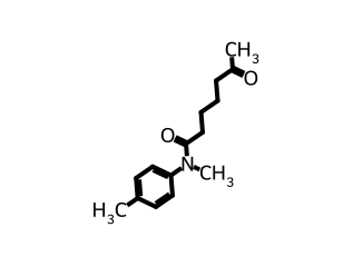 CC(=O)CCCCC(=O)N(C)c1ccc(C)cc1